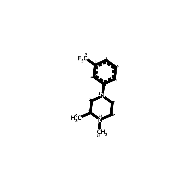 CC1CN(c2cccc(C(F)(F)F)c2)CCN1C